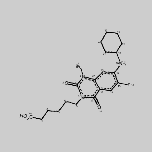 CC(C)n1c(=O)n(CCCCCC(=O)O)c(=O)c2cc(F)c(NC3CCCCC3)cc21